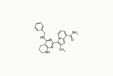 Cc1cc2c(C(N)=O)cccn2c1-c1nc2c(c(NCc3ccccc3)n1)CCCN2